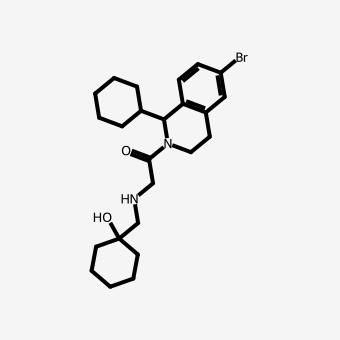 O=C(CNCC1(O)CCCCC1)N1CCc2cc(Br)ccc2C1C1CCCCC1